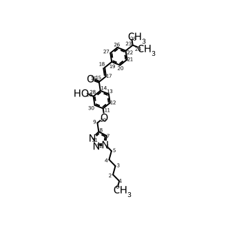 CCCCCCn1cc(COc2ccc(C(=O)/C=C/c3ccc(C(C)C)cc3)c(O)c2)nn1